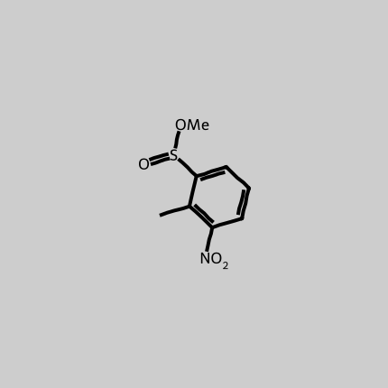 COS(=O)c1cccc([N+](=O)[O-])c1C